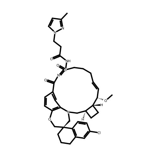 CO[C@H]1/C=C/CCCS(=O)(NC(=O)CCn2ccc(C)n2)=NC(=O)c2ccc3c(c2)N(C[C@@H]2CC[C@H]21)C[C@@]1(CCCc2cc(Cl)ccc21)CO3